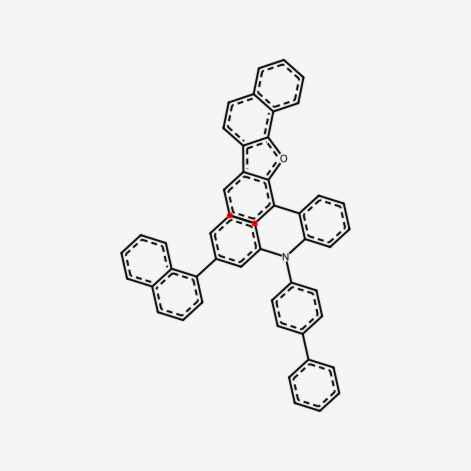 c1ccc(-c2ccc(N(c3cccc(-c4cccc5ccccc45)c3)c3ccccc3-c3cccc4c3oc3c5ccccc5ccc43)cc2)cc1